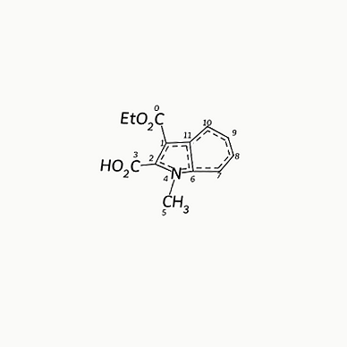 CCOC(=O)c1c(C(=O)O)n(C)c2ccccc12